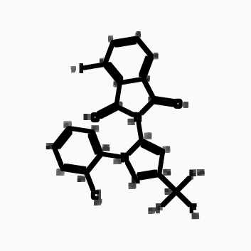 O=C1c2cccc(I)c2C(=O)N1c1cc(C(F)(F)F)nn1-c1ccccc1Cl